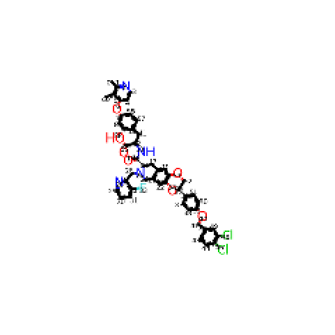 Cc1nccc(Oc2ccc(CC(NC(=O)[C@@H]3Cc4cc5c(cc4CN3Cc3ncccc3F)O[C@@H](c3ccc(OCc4ccc(Cl)c(Cl)c4)cc3)CO5)C(=O)O)cc2)c1C